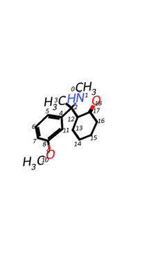 CNC(C)(c1cccc(OC)c1)C1CCCCC1=O